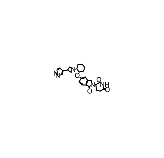 O=C1CCC(N2Cc3cc(O[C@H]4CCCC[C@@H]4N4CC(c5ccnnc5)C4)ccc3C2=O)C(=O)N1